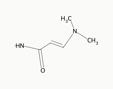 CN(C)/C=C/C([NH])=O